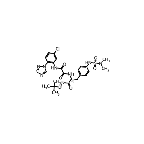 CN(C)S(=O)(=O)Nc1ccc(C[C@H](NC(=O)C(=O)Nc2cc(Cl)ccc2-n2cnnn2)C(=O)NOC(C)(C)C)cc1